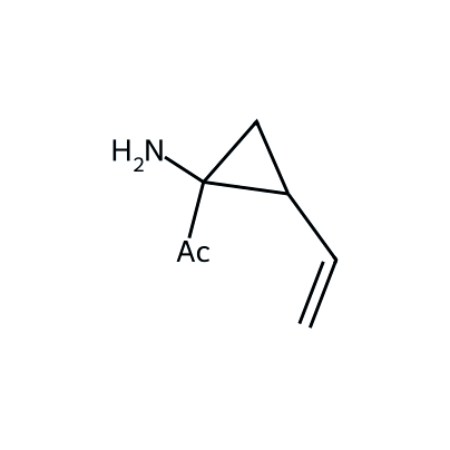 C=CC1CC1(N)C(C)=O